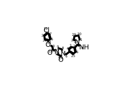 N=C(c1ccc(CN2CCN(C(=O)COc3ccc(Cl)cc3)CC2=O)cc1)N1CCCC1